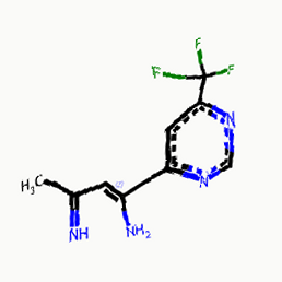 CC(=N)/C=C(\N)c1cc(C(F)(F)F)ncn1